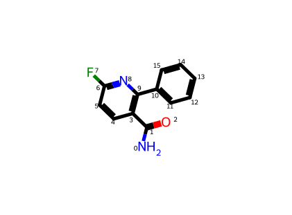 NC(=O)c1ccc(F)nc1-c1ccccc1